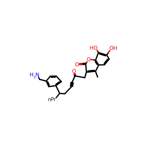 CCCC(CC#CC(=O)Cc1c(C)c2ccc(O)c(O)c2oc1=O)c1cccc(CN)c1